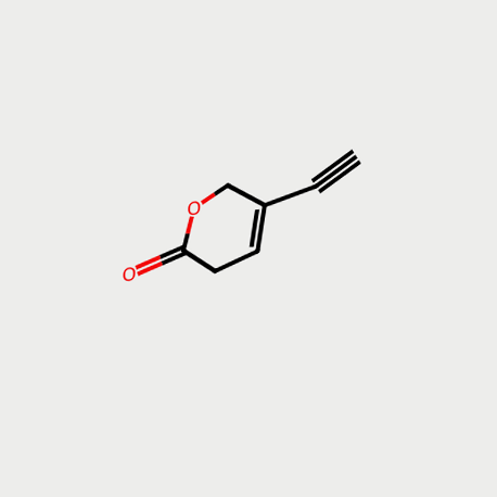 C#CC1=CCC(=O)OC1